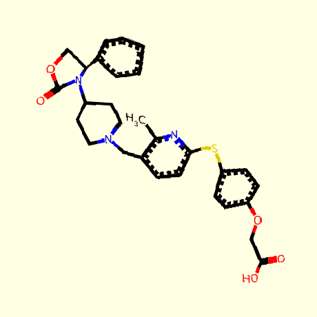 Cc1nc(Sc2ccc(OCC(=O)O)cc2)ccc1CN1CCC(N2C(=O)OC[C@H]2c2ccccc2)CC1